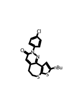 CCCCc1cc2c(s1)SCCc1cc(=O)n(-c3ccc(Cl)cc3)nc1-2